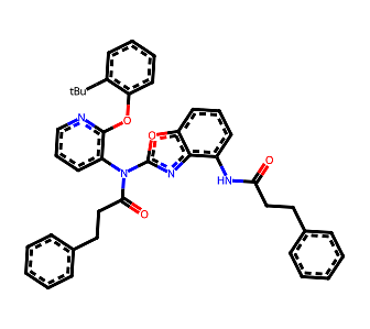 CC(C)(C)c1ccccc1Oc1ncccc1N(C(=O)CCc1ccccc1)c1nc2c(NC(=O)CCc3ccccc3)cccc2o1